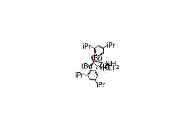 CC(C)c1cc(C(C)C)c2c(c1)[CH]([Zr]([CH3])([CH3])(=[SiH2])[CH]1C(C(C)(C)C)=Cc3c(C(C)C)cc(C(C)C)cc31)C(C(C)(C)C)=C2.Cl.Cl